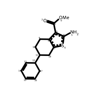 COC(=O)c1c(N)sc2c1CCC(C1C=CC=CC1)C2